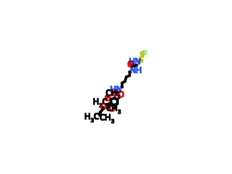 COC1C(OC(=O)NCCCCCCNC(=O)CNSSF)CCC2(CO2)C1C(C)(C)OCC=C(C)C